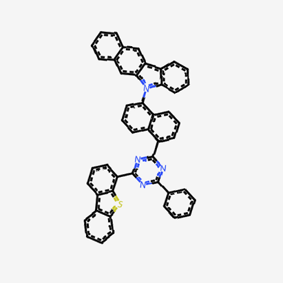 c1ccc(-c2nc(-c3cccc4c(-n5c6ccccc6c6cc7ccccc7cc65)cccc34)nc(-c3cccc4c3sc3ccccc34)n2)cc1